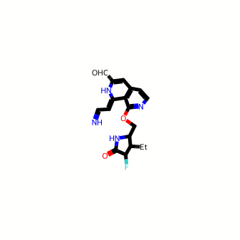 CCC1C(COc2nccc3c2/C(=C/C=N)NC(C=O)=C3)NC(=O)C1F